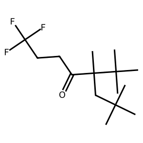 CC(C)(C)CC(C)(C(=O)CCC(F)(F)F)C(C)(C)C